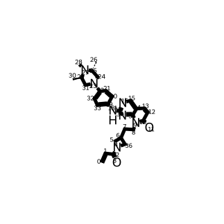 C=CC(=O)N1CC(CCn2c(=O)ccc3cnc(Nc4ccc(N5C[C@@H](C)N(C)[C@H](C)C5)cc4)nc32)C1